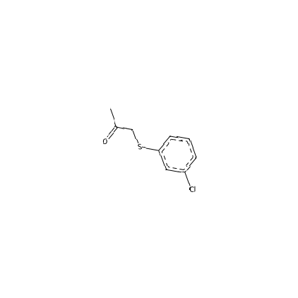 CC(=O)CSc1cccc(Cl)c1